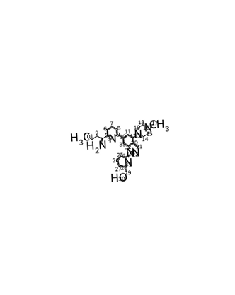 CCCC(N)c1cccc(-c2cc(N3CCN(C)CC3)c3cnn(-c4cccc(CO)n4)c3c2)n1